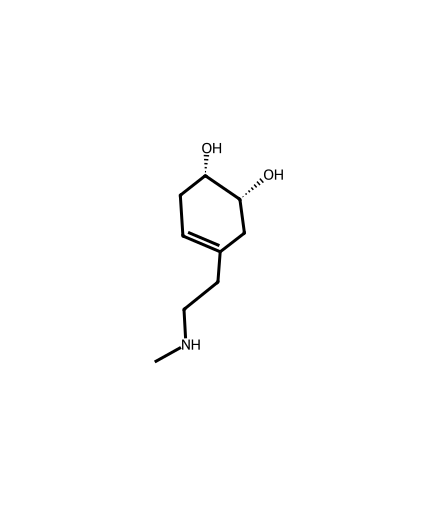 CNCCC1=CC[C@H](O)[C@H](O)C1